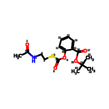 CC(=O)NCCSC(=O)Oc1ccccc1C(=O)OC(C)(C)C